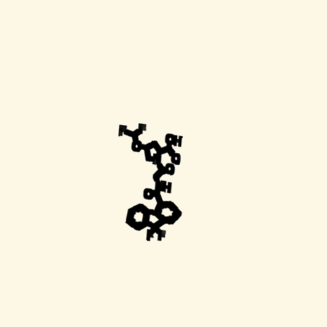 O=C(NCC(=O)N1CC(OC(F)F)CC1C(=O)O)c1cccc2c1-c1ccccc1C2(F)F